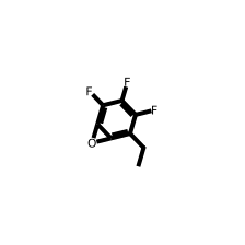 CCc1c(F)c(F)c(F)c2c1O2